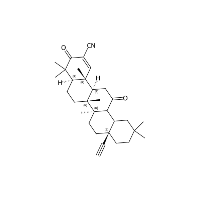 C#C[C@]12CCC(C)(C)CC1C1C(=O)C[C@@H]3[C@@]4(C)C=C(C#N)C(=O)C(C)(C)[C@@H]4CC[C@@]3(C)[C@]1(C)CC2